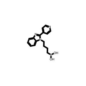 OB(O)CCCCn1c(-c2ccncc2)nc2ccccc21